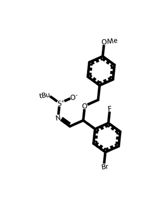 COc1ccc(COC(/C=N\[S+]([O-])C(C)(C)C)c2cc(Br)ccc2F)cc1